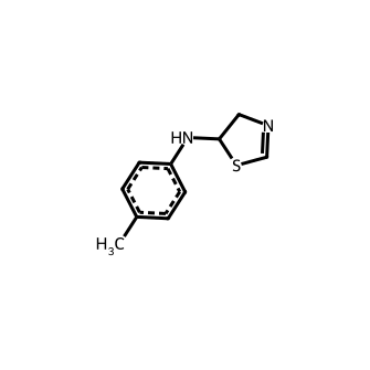 Cc1ccc(NC2CN=CS2)cc1